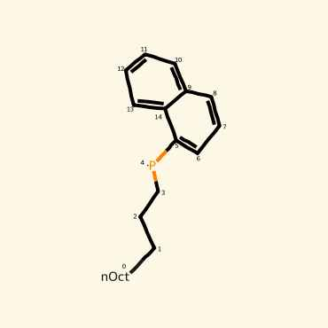 CCCCCCCCCCC[P]c1cccc2ccccc12